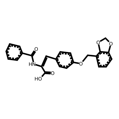 O=C(O)/C(=C\c1ccc(OCc2cccc3c2OCO3)cc1)NC(=O)c1ccccc1